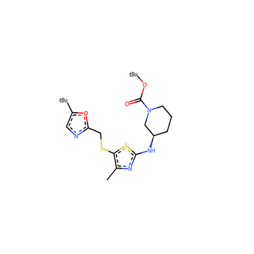 Cc1nc(N[C@@H]2CCCN(C(=O)OC(C)(C)C)C2)sc1SCc1ncc(C(C)(C)C)o1